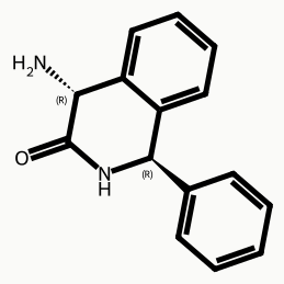 N[C@H]1C(=O)N[C@H](c2ccccc2)c2ccccc21